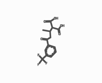 CC(CC(=O)c1cccc(C(F)(F)F)c1)C(C(=O)O)C(=O)O